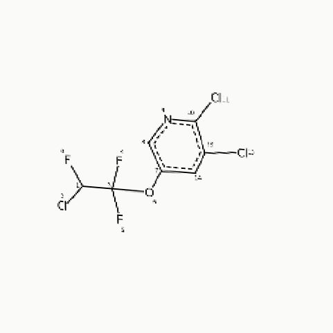 FC(Cl)C(F)(F)Oc1cnc(Cl)c(Cl)c1